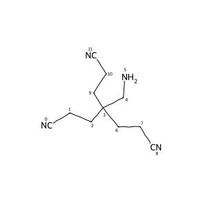 N#CCCC(CN)(CCC#N)CCC#N